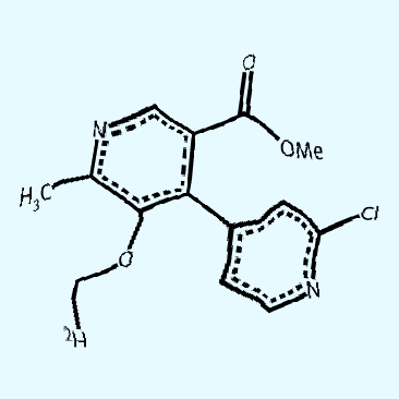 [2H]COc1c(C)ncc(C(=O)OC)c1-c1ccnc(Cl)c1